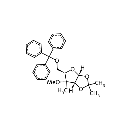 CO[C@]1(C)[C@@H](COC(c2ccccc2)(c2ccccc2)c2ccccc2)O[C@@H]2OC(C)(C)O[C@@H]21